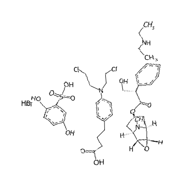 Br.CCNCC.CN1[C@@H]2C[C@@H](OC(=O)[C@H](CO)c3ccccc3)C[C@H]1[C@@H]1O[C@@H]12.O=C(O)CCCc1ccc(N(CCCl)CCCl)cc1.O=S(=O)(O)c1cc(O)ccc1O